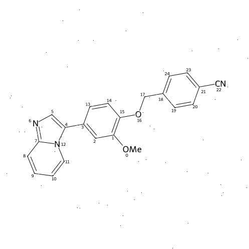 COc1cc(-c2cnc3ccccn23)ccc1OCc1ccc(C#N)cc1